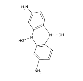 Nc1ccc2c(c1)N(O)c1cc(N)ccc1N2O